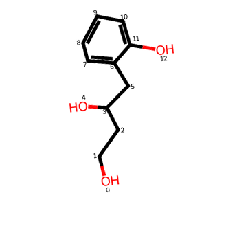 OCCC(O)Cc1ccccc1O